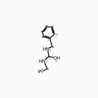 CC(C)CNC(O)NCc1ccccc1